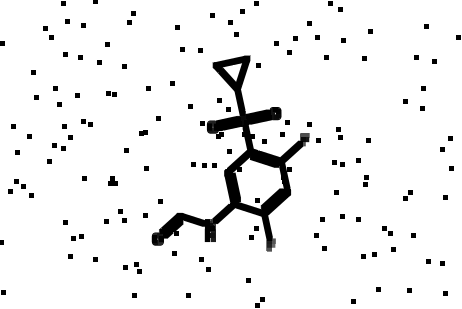 O=CNc1cc(S(=O)(=O)C2CC2)c(F)cc1F